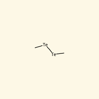 C[Te][Te]C